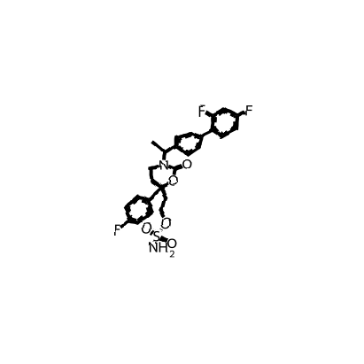 CC(c1ccc(-c2ccc(F)cc2F)cc1)N1CCC(CCOS(N)(=O)=O)(c2ccc(F)cc2)OC1=O